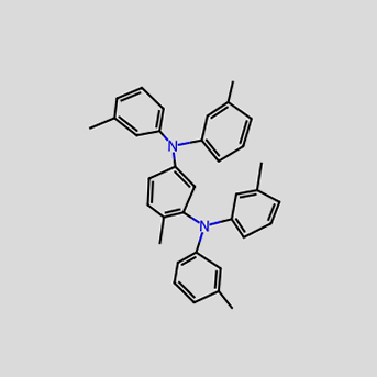 Cc1cccc(N(c2cccc(C)c2)c2ccc(C)c(N(c3cccc(C)c3)c3cccc(C)c3)c2)c1